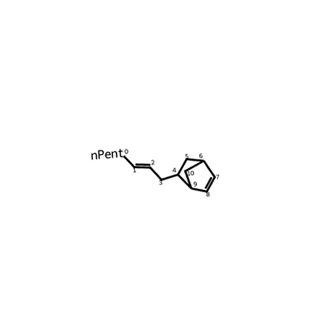 CCCCCC=CCC1CC2C=CC1C2